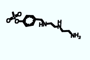 CS(=O)(=O)Oc1ccc(CNCCNCCN)cc1